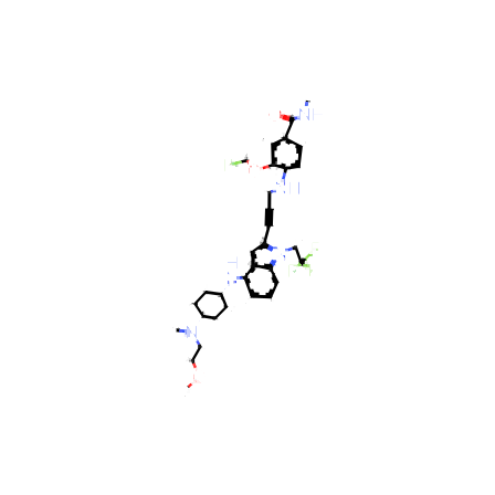 CNC(=O)c1ccc(NCC#Cc2cc3c(N[C@H]4CC[C@@H](N(C)CCOC)CC4)cccc3n2CC(F)(F)F)c(OCF)c1